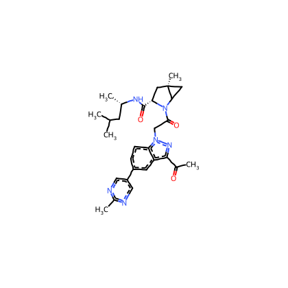 CC(=O)c1nn(CC(=O)N2C3C[C@]3(C)C[C@H]2C(=O)N[C@@H](C)CC(C)C)c2ccc(-c3cnc(C)nc3)cc12